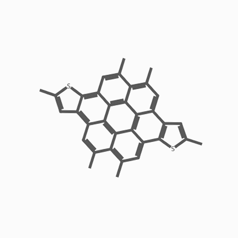 Cc1cc2c3cc(C)c4c(C)cc5c6sc(C)cc6c6cc(C)c7c(C)cc(c2s1)c1c7c6c5c4c31